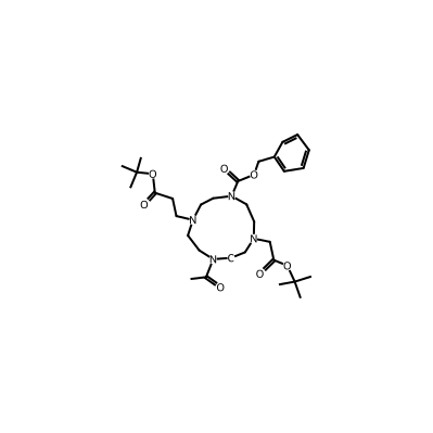 CC(=O)N1CCN(CCC(=O)OC(C)(C)C)CCN(C(=O)OCc2ccccc2)CCN(CC(=O)OC(C)(C)C)CC1